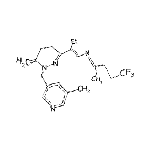 C=C1CCC(/C(=C/N=C(\C)CCC(F)(F)F)CC)=NN1Cc1cncc(C)c1